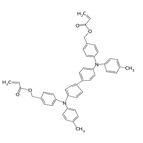 C=CC(=O)OCc1ccc(N(c2ccc(C)cc2)c2ccc(-c3ccc(N(c4ccc(C)cc4)c4ccc(COC(=O)C=C)cc4)cc3)cc2)cc1